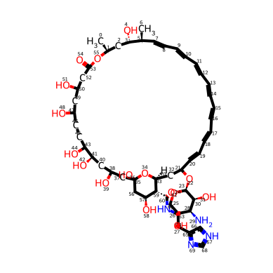 C[C@H]1C[C@H](O)[C@@H](C)/C=C/C=C/C=C/C=C/C=C/C=C/C=C/C(O[C@@H]2OC[C@@H](O)[C@H](N)[C@@H]2O)C[C@@H]2OC(O)(CC(O)C[C@@H](O)C(O)CCC(O)CC(O)CC(=O)O1)C[C@H](O)[C@H]2C(=O)NCCc1c[nH]cn1